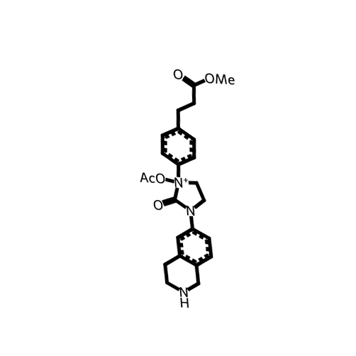 COC(=O)CCc1ccc([N+]2(OC(C)=O)CCN(c3ccc4c(c3)CCNC4)C2=O)cc1